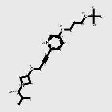 CC(C)[C@H](C)N1CC(OCC#Cc2ccc(OCCCOC(C)(C)C)cn2)C1